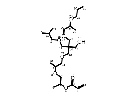 C=CC(=O)OC(C)COC(C)COCC(CO)(COCC(C)C)COCC(C)OCCC